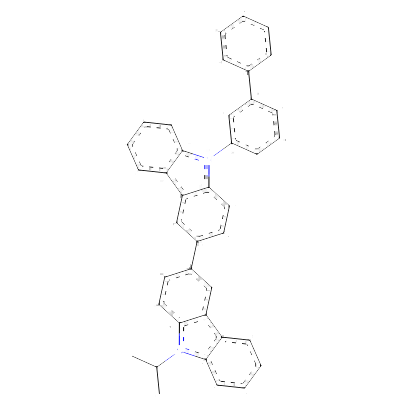 CC(C)n1c2ccccc2c2cc(-c3ccc4c(c3)c3ccccc3n4-c3cccc(-c4ccccc4)c3)ccc21